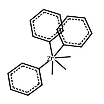 [CH3][Zn]([CH3])([CH3])([c]1ccccc1)([c]1ccccc1)[c]1ccccc1